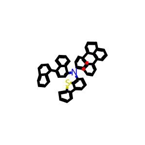 c1ccc(-c2cccc3cccc(-c4ccc(N(c5ccc(-c6cccc7ccccc67)c6ccccc56)c5cccc6c5sc5ccccc56)cc4)c23)cc1